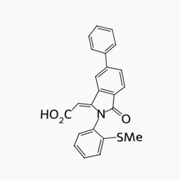 CSc1ccccc1N1C(=O)c2ccc(-c3ccccc3)cc2C1=CC(=O)O